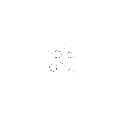 [2H]C([2H])([2H])c1nnc2n1-c1ccc(OC)cc1C(c1ccc(Cl)cc1)=N[C@H]2CC(=O)NCC